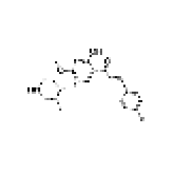 COc1cc(O)c(C(=O)/C=C/c2ccc(F)cc2)cc1CN1CCNCC1C